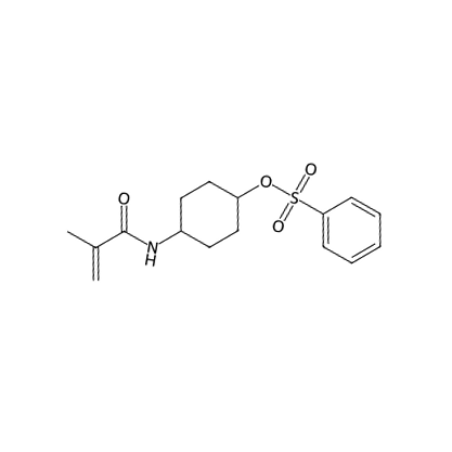 C=C(C)C(=O)NC1CCC(OS(=O)(=O)c2ccccc2)CC1